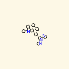 c1ccc(-c2cccc(-c3cccc4c(-c5ccccc5)nc5cc(-c6ccc(-c7cc(-c8ccccn8)nc(-c8ccccn8)c7)cc6)ccc5c34)c2)cc1